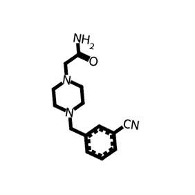 N#Cc1cccc(CN2CCN(CC(N)=O)CC2)c1